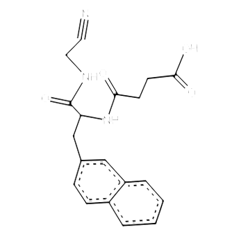 N#CCNC(=O)C(Cc1ccc2ccccc2c1)NC(=O)CCC(=O)O